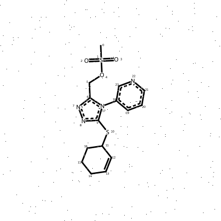 CS(=O)(=O)OCc1nnc(SC2C=CCCC2)n1-c1cccnc1